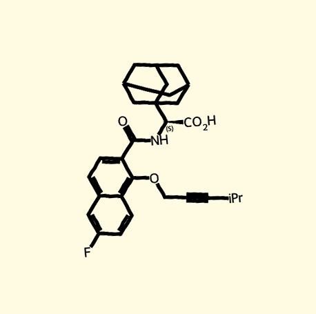 CC(C)C#CCOc1c(C(=O)N[C@H](C(=O)O)C23CC4CC(CC(C4)C2)C3)ccc2cc(F)ccc12